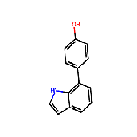 Oc1ccc(-c2cccc3cc[nH]c23)cc1